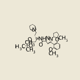 COc1cccc(OC)c1-c1cc(C(=O)N[C@@H](CCN2C3CCC2CC3)CC(=O)OC(C)(C)C)nn1C1CCCC1